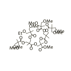 CCOCC(C)(COC)C(=O)OCC(C)(COC(=O)C(C)(COC)COC)C(=O)OCC(C)(COC(=O)C(C)(COC(=O)C(C)(COC)COC)COC(=O)C(C)(COC)COC)C(=O)OC